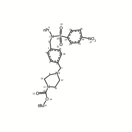 CCCN(Cc1ccc(CN2CCN(C(=O)OC(C)(C)C)CC2)cc1)S(=O)(=O)c1ccc([N+](=O)[O-])cc1